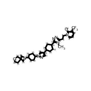 Cn1c(CCn2cccc(C(F)(F)F)c2=O)nnc1C1CCC(c2cnn(C3CCC(N4CC5(CCOC5)C4)CC3)c2)CC1